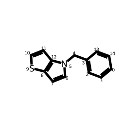 c1ccc(Cn2ccc3sccc32)cc1